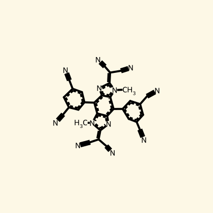 Cn1c(=C(C#N)C#N)nc2c(-c3cc(C#N)cc(C#N)c3)c3c(nc(=C(C#N)C#N)n3C)c(-c3cc(C#N)cc(C#N)c3)c21